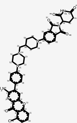 Nc1nc2c(=O)c3c(Cl)cccc3oc2cc1-c1ccc(N2CCN(CC3CCN(c4ccc5c(c4)C(=O)N(C4CCC(=O)NC4=O)C5=O)CC3)CC2)cc1